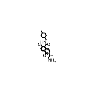 CC1CCC(CNC(=O)c2c(Cl)ccc3c(=O)n([C@H](C)CN)ccc23)CC1